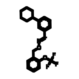 FC(F)(F)Oc1ccccc1CON=[C]c1cccc(C2CCCCC2)c1